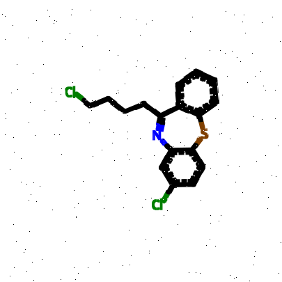 ClCCCCC1=Nc2cc(Cl)ccc2Sc2ccccc21